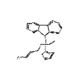 CC(CCC=[CH][Zr])(C1=CC=CC1)C1c2ccccc2-c2ccccc21